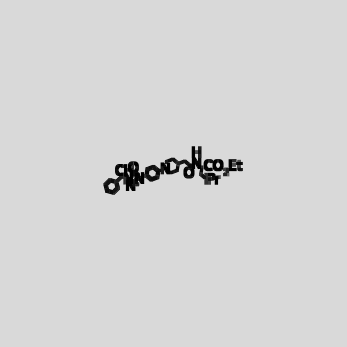 CCOC(=O)[C@H](CC(C)C)NC(=O)CC1CCN(c2ccc(-n3cnn(C(C)c4ccccc4)c3=O)cc2)CC1